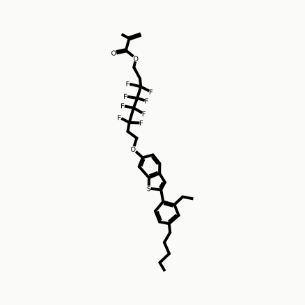 C=C(C)C(=O)OCCC(F)(F)C(F)(F)C(F)(F)C(F)(F)CCOc1ccc2cc(-c3ccc(CCCCC)cc3CC)sc2c1